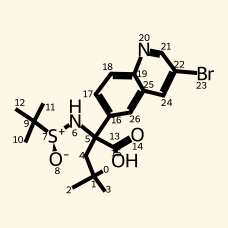 CC(C)(C)CC(N[S@@+]([O-])C(C)(C)C)(C(=O)O)c1ccc2ncc(Br)cc2c1